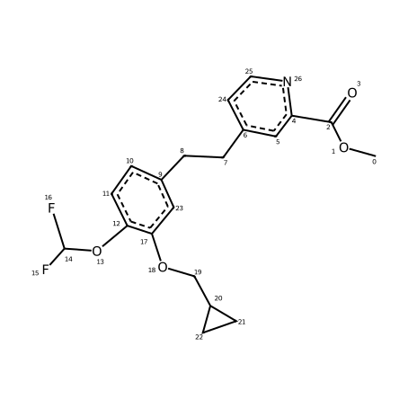 COC(=O)c1cc(CCc2ccc(OC(F)F)c(OCC3CC3)c2)ccn1